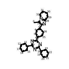 Cc1c(-c2ccc(-c3nc(-c4ccccc4)nc(-c4ccccc4)n3)cc2)nc2ccccn12